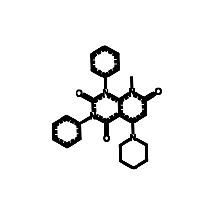 Cn1c(=O)cc(N2CCCCC2)c2c(=O)n(-c3ccccc3)c(=O)n(-c3ccccc3)c21